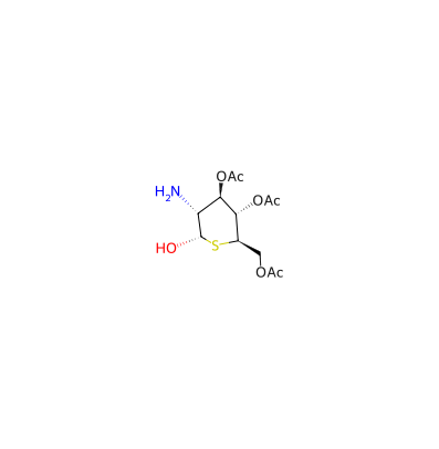 CC(=O)OC[C@H]1S[C@H](O)[C@H](N)[C@@H](OC(C)=O)[C@@H]1OC(C)=O